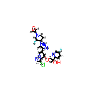 Cc1c(-c2cc(OCC(C)(O)c3ccc(F)cn3)c3c(Cl)cnn3c2)nnn1[C@H]1CCN(C2COC2)C[C@H]1F